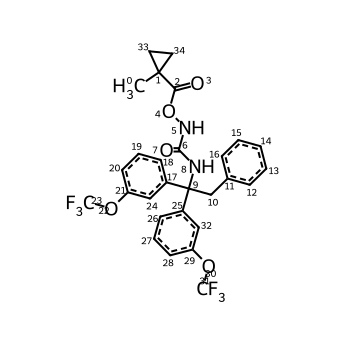 CC1(C(=O)ONC(=O)NC(Cc2ccccc2)(c2cccc(OC(F)(F)F)c2)c2cccc(OC(F)(F)F)c2)CC1